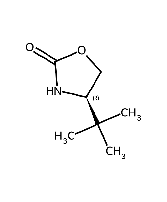 CC(C)(C)[C@@H]1COC(=O)N1